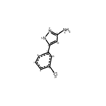 NC1=N[N]C(c2cccc(Cl)c2)=C1